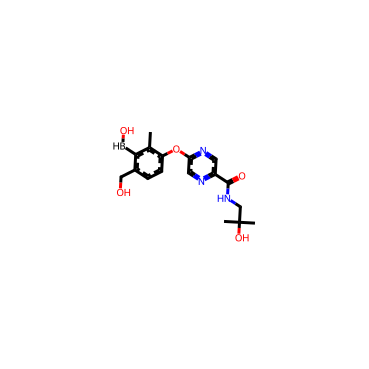 Cc1c(Oc2cnc(C(=O)NCC(C)(C)O)cn2)ccc(CO)c1BO